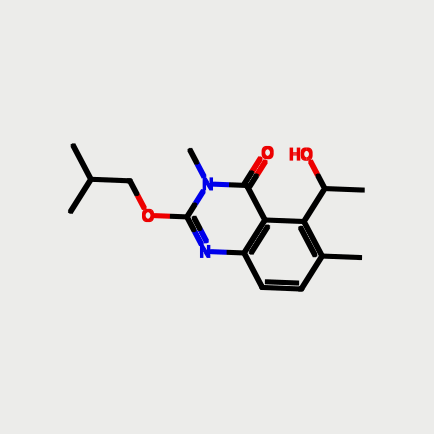 Cc1ccc2nc(OCC(C)C)n(C)c(=O)c2c1C(C)O